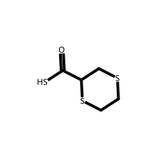 O=C(S)C1CSCCS1